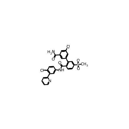 CS(=O)(=O)c1ccc(C(=O)Nc2ccc(Cl)c(-c3ccccn3)c2)c(-c2cc(Cl)cc(C(N)=O)c2)c1